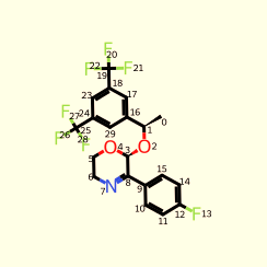 C[C@@H](O[C@@H]1OCCN=C1c1ccc(F)cc1)c1cc(C(F)(F)F)cc(C(F)(F)F)c1